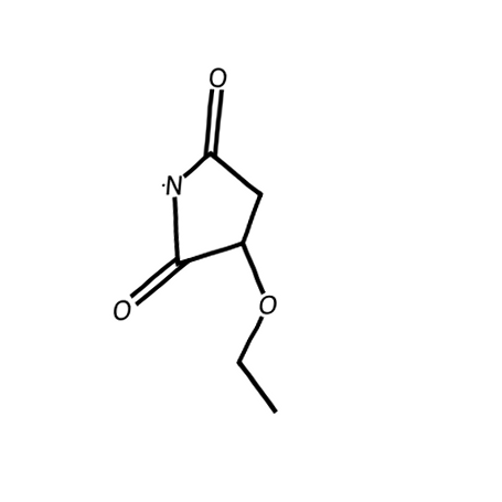 CCOC1CC(=O)[N]C1=O